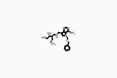 CSCC(CNCc1cn(COCc2ccccc2)c2c(N)ncnc12)[C@@H](O)CO